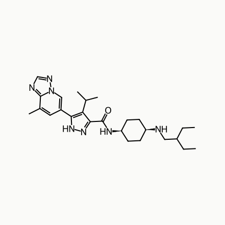 CCC(CC)CN[C@H]1CC[C@@H](NC(=O)c2n[nH]c(-c3cc(C)c4ncnn4c3)c2C(C)C)CC1